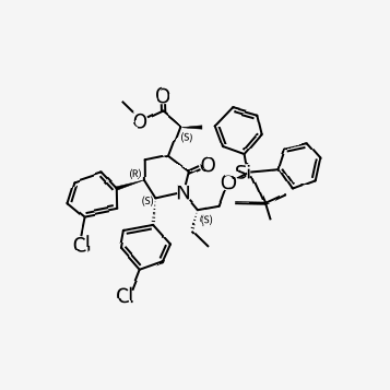 CC[C@@H](CO[Si](c1ccccc1)(c1ccccc1)C(C)(C)C)N1C(=O)C([C@H](C)C(=O)OC)C[C@H](c2cccc(Cl)c2)[C@H]1c1ccc(Cl)cc1